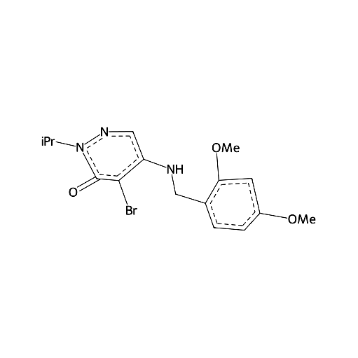 COc1ccc(CNc2cnn(C(C)C)c(=O)c2Br)c(OC)c1